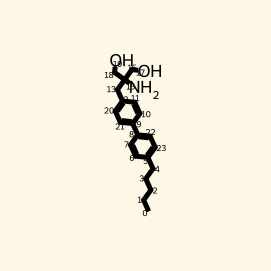 CCCCCc1ccc(-c2ccc(CC(N)(CO)CO)cc2)cc1